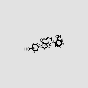 Cc1c[c]cnc1N1CCC[C@@]2(CCN([C@H]3CC[C@H](O)CC3)C2=O)C1